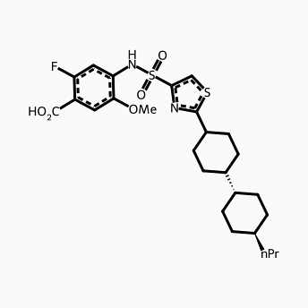 CCC[C@H]1CC[C@H](C2CCC(c3nc(S(=O)(=O)Nc4cc(F)c(C(=O)O)cc4OC)cs3)CC2)CC1